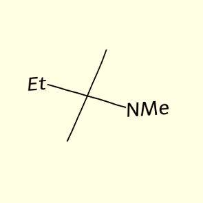 [CH2]NC(C)(C)CC